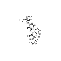 CCN(CCn1c(-c2ccc(F)cc2)ccc(NC(=O)C(C)NC)c1=O)C1CCCc2ccccc21